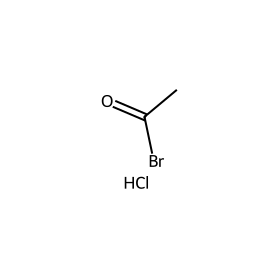 CC(=O)Br.Cl